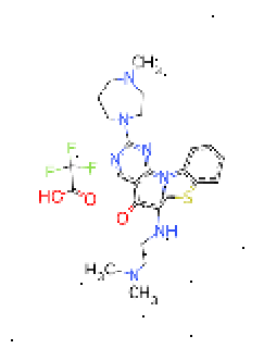 CN(C)CCNc1c(=O)c2cnc(N3CCCN(C)CC3)nc2n2c1sc1ccccc12.O=C(O)C(F)(F)F